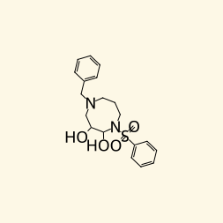 O=S(=O)(c1ccccc1)N1CCCN(Cc2ccccc2)CC(O)C1O